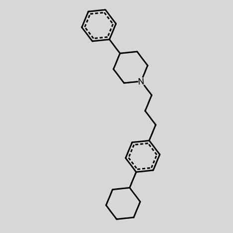 c1ccc(C2CCN(CCCc3ccc(C4CCCCC4)cc3)CC2)cc1